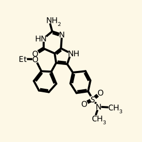 CCOc1ccccc1-c1c(-c2ccc(S(=O)(=O)N(C)C)cc2)[nH]c2nc(N)[nH]c(=O)c12